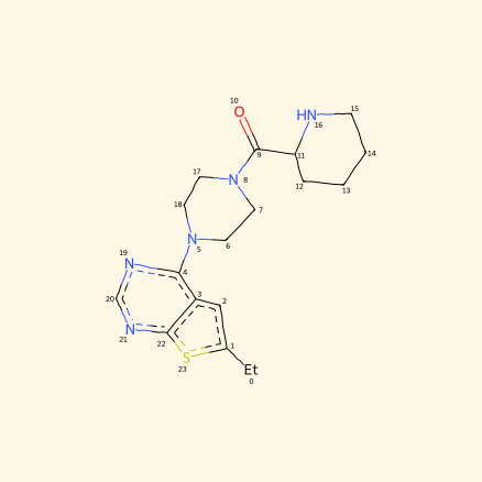 CCc1cc2c(N3CCN(C(=O)C4CCCCN4)CC3)ncnc2s1